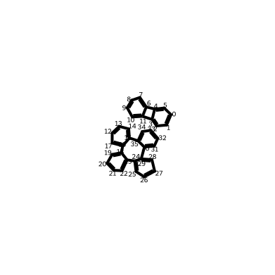 c1ccc2c(c1)-c1ccccc1-2.c1ccc2c(c1)-c1ccccc1-c1ccccc1-c1ccccc1-2